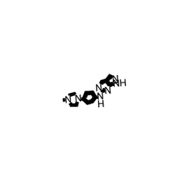 CN1CCN(c2ccc(Nc3ncc4cn[nH]c4n3)cc2)CC1